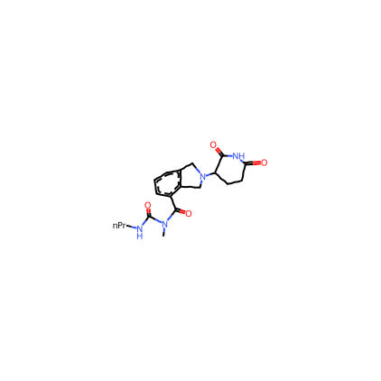 CCCNC(=O)N(C)C(=O)c1cccc2c1CN(C1CCC(=O)NC1=O)C2